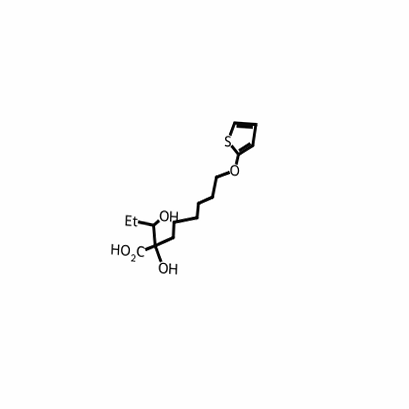 CCC(O)C(O)(CCCCCCOc1cccs1)C(=O)O